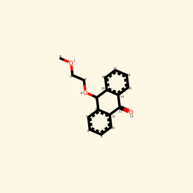 COCCOC1c2ccccc2C(=O)c2ccccc21